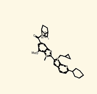 COc1cc(C(=O)N2CC3CCC2[C@@H]3N)cc2nc(-c3cc4ccc(C5CCCCC5)nc4n3CC3CC3)n(C)c12